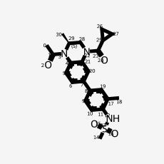 CC(=O)N1c2ccc(-c3ccc(NS(C)(=O)=O)c(C)c3)cc2N(C(=O)C2CC2)C[C@@H]1C